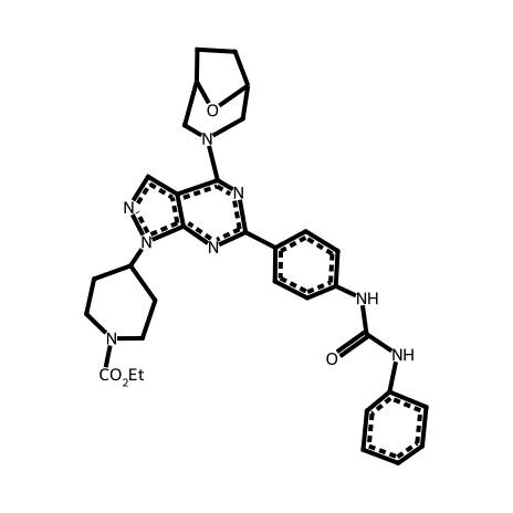 CCOC(=O)N1CCC(n2ncc3c(N4CC5CCC(C4)O5)nc(-c4ccc(NC(=O)Nc5ccccc5)cc4)nc32)CC1